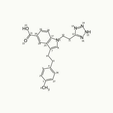 Cc1ccc(CCc2cn(CCc3nn[nH]n3)c3ccc(C(=O)O)cc23)cc1